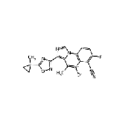 Cc1c2c(-c3noc(C4(C)CC4)n3)ncn2c2ccc(F)c(C#N)c2[n+]1[O-]